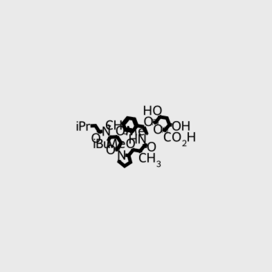 CCC(C)C(C(CC(=O)N1CCCC1C(OC)C(C)C(=O)NCC(O[C@@H]1O[C@H](C(=O)O)C(O)CC1O)c1ccccc1)OC)N(C)C(=O)CC(C)C